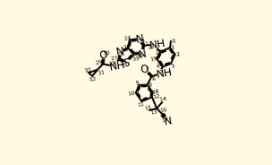 Cc1ccc(NC(=O)c2cccc(C(C)(C)C#N)c2)cc1Nc1ncc2nc(NC(=O)C3CC3)sc2n1